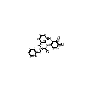 O=C1N(Cc2ccccn2)CC2=C(NCC=C2)N1c1ccc(Cl)c(Cl)c1